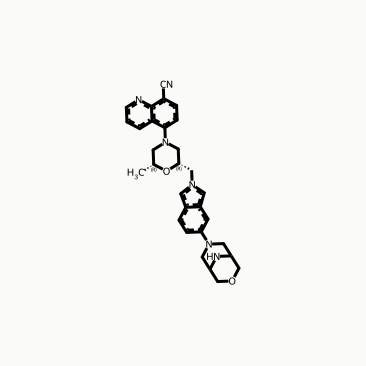 C[C@@H]1CN(c2ccc(C#N)c3ncccc23)C[C@H](Cn2cc3ccc(N4CC5COCC(C4)N5)cc3c2)O1